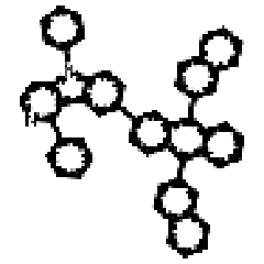 c1ccc(-c2nccc3c2c2cc(-c4ccc5c(-c6ccc7ccccc7c6)c6ccccc6c(-c6ccc7ccccc7c6)c5c4)ccc2n3-c2ccccc2)cc1